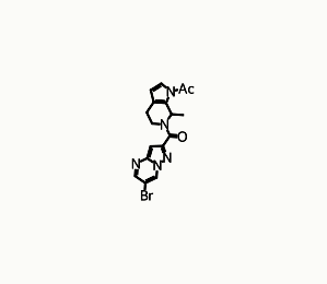 CC(=O)n1ccc2c1C(C)N(C(=O)c1cc3ncc(Br)cn3n1)CC2